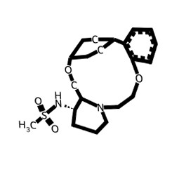 CS(=O)(=O)N[C@H]1CCCN2CCOc3ccccc3C3CCC(CC3)OCC12